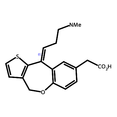 CNCC/C=C1\c2cc(CC(=O)O)ccc2OCc2ccsc21